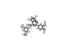 COc1cc(CNc2nc(-c3ccc(OC)c(OC)c3)nn3c(C)nc(C)c23)cc(OC)c1